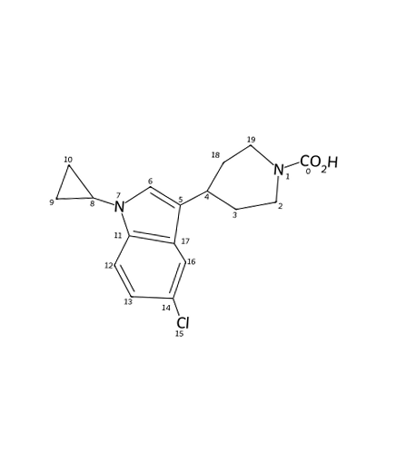 O=C(O)N1CCC(c2cn(C3CC3)c3ccc(Cl)cc23)CC1